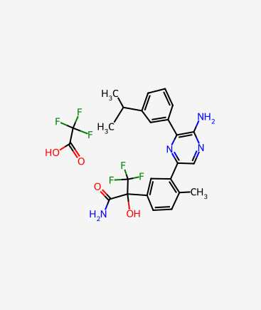 Cc1ccc(C(O)(C(N)=O)C(F)(F)F)cc1-c1cnc(N)c(-c2cccc(C(C)C)c2)n1.O=C(O)C(F)(F)F